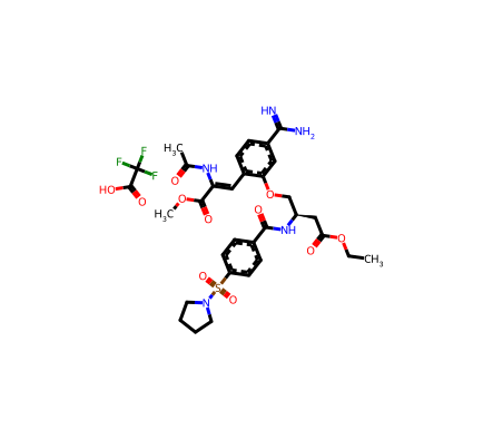 CCOC(=O)C[C@H](COc1cc(C(=N)N)ccc1C=C(NC(C)=O)C(=O)OC)NC(=O)c1ccc(S(=O)(=O)N2CCCC2)cc1.O=C(O)C(F)(F)F